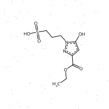 CCOC(=O)c1cc(O)n(CCCS(=O)(=O)O)n1